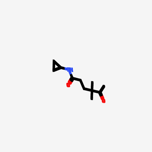 CC(=O)C(C)(C)CCC(=O)NC1CC1